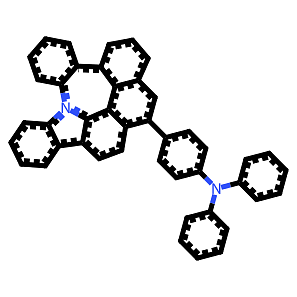 c1ccc(N(c2ccccc2)c2ccc(-c3cc4cccc5c6ccccc6n6c7ccccc7c7ccc3c(c45)c76)cc2)cc1